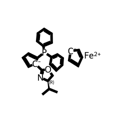 CC(C)[C@@H]1COC([c-]2cccc2P(c2ccccc2)c2ccccc2)=N1.[Fe+2].c1cc[cH-]c1